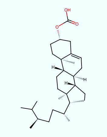 CC(C)[C@H](C)CC[C@@H](C)[C@H]1CC[C@H]2[C@@H]3CC=C4C[C@@H](OC(=O)O)CC[C@]4(C)[C@H]3CC[C@]12C